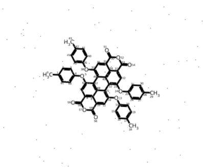 Cc1ccc(Oc2cc3c4c(cc(Oc5ccc(C)cc5)c5c6c(Oc7ccc(C)cc7)cc7c8c(cc(Oc9ccc(C)cc9)c(c2c45)c86)C(=O)OC7=O)C(=O)OC3=O)cc1